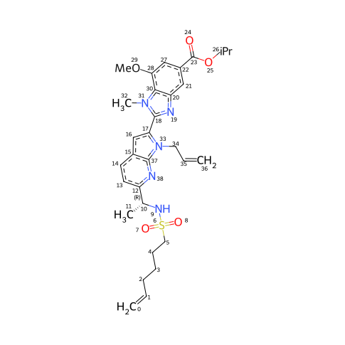 C=CCCCCS(=O)(=O)N[C@H](C)c1ccc2cc(-c3nc4cc(C(=O)OC(C)C)cc(OC)c4n3C)n(CC=C)c2n1